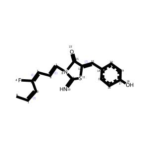 C\C=C/C(F)=C\C=C\N1C(=N)S/C(=C\c2ccc(O)cc2)C1=O